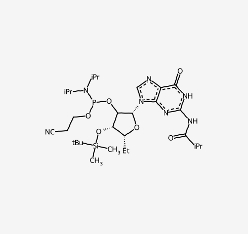 CC[C@H]1O[C@@H](n2cnc3c(=O)[nH]c(NC(=O)C(C)C)nc32)C(OP(OCCC#N)N(C(C)C)C(C)C)[C@H]1O[Si](C)(C)C(C)(C)C